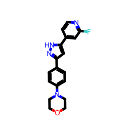 Fc1cc(-c2cc(-c3ccc(N4CCOCC4)cc3)n[nH]2)ccn1